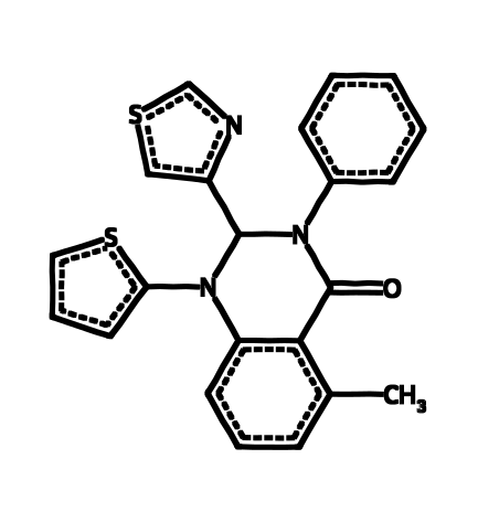 Cc1cccc2c1C(=O)N(c1ccccc1)C(c1cscn1)N2c1cccs1